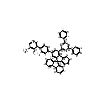 Cc1cncc(-c2ccc(-c3cc(-c4nc(-c5ccccc5)nc(-c5ccccc5)n4)c4c(c3)C3(c5ccccc5-c5ccccc53)c3ccccc3-4)cc2)c1C